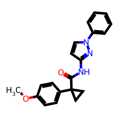 COc1ccc(C2(C(=O)Nc3ccn(-c4ccccc4)n3)CC2)cc1